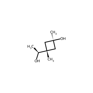 C[C@H](O)[C@]1(C)C[C@@](C)(O)C1